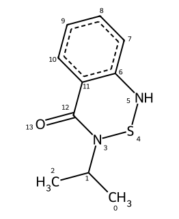 CC(C)N1SNc2ccccc2C1=O